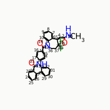 CNC(=O)C=C1c2ccccc2N(C(=O)c2ccc(NC(=O)c3ccccc3-c3ccccc3)cc2)CCC1(F)F